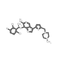 C[C@@H](Oc1c(N)ncc2c(-c3ccc(CN4CCN(C)CC4)s3)coc12)c1c(Cl)ccc(F)c1Cl